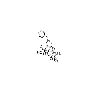 CC(C)(C)[Si](C)(C)O[C@@H]1CN(Cc2ccccc2)C[C@H]1NC(=O)O